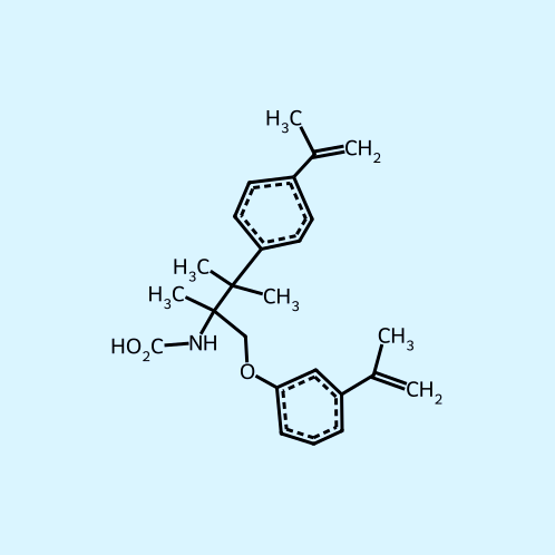 C=C(C)c1ccc(C(C)(C)C(C)(COc2cccc(C(=C)C)c2)NC(=O)O)cc1